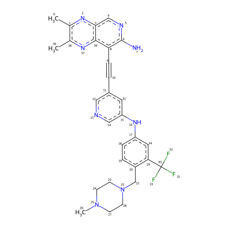 Cc1nc2cnc(N)c(C#Cc3cncc(Nc4ccc(CN5CCN(C)CC5)c(C(F)(F)F)c4)c3)c2nc1C